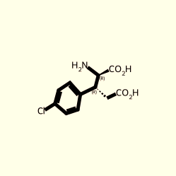 N[C@@H](C(=O)O)[C@H](CC(=O)O)c1ccc(Cl)cc1